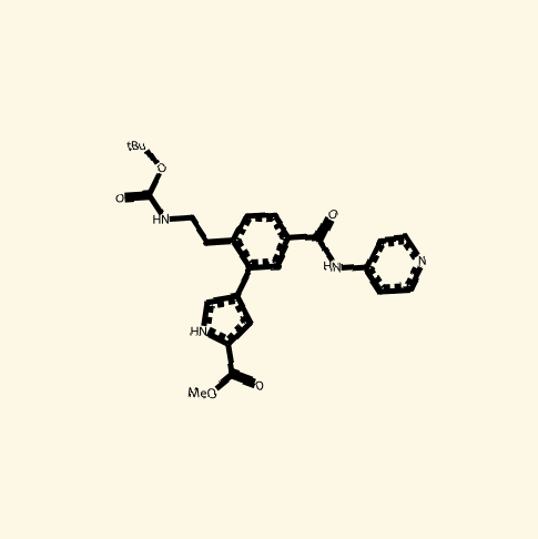 COC(=O)c1cc(-c2cc(C(=O)Nc3ccncc3)ccc2CCNC(=O)OC(C)(C)C)c[nH]1